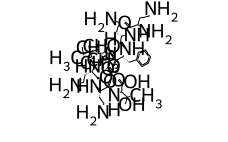 C[C@@H](O)[C@H](NC(=O)[C@H](CCN)NC(=O)[C@H](CCN)NC(=O)[C@H](CC(C)(C)C(C)(C)C)NC(=O)[C@@H](Cc1ccccc1)NC(=O)[C@H](CCN)NC(=O)[C@@H](N)CCN)C(=O)O